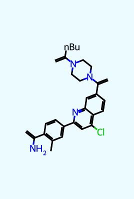 C=C(N)c1ccc(-c2cc(Cl)c3ccc(C(=C)N4CCN(C(=C)CCCC)CC4)cc3n2)cc1C